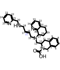 O=C(O)N1Cc2ccccc2CC1CN(C/C=C/CNCc1ccccn1)C1CCCc2cccnc21